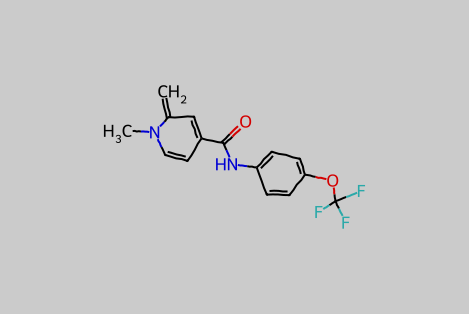 C=C1C=C(C(=O)Nc2ccc(OC(F)(F)F)cc2)C=CN1C